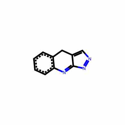 C1=C2Cc3ccccc3N=C2N=N1